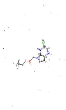 C[Si](C)(C)CCOCn1ccc2ncc(Cl)nc21